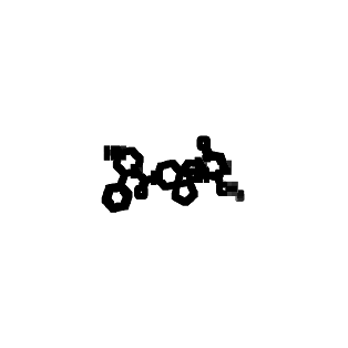 Cc1cn(CC2(O)CCN(C(=O)N3CCNCC3c3ccccc3)CC23CCCC3)c(=O)cn1